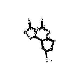 O=c1[nH]nc2c3cc([N+](=O)[O-])ccc3[nH]c(=O)n12